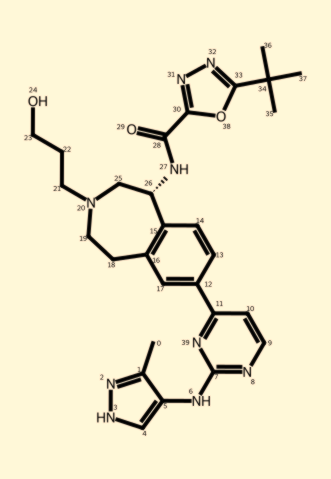 Cc1n[nH]cc1Nc1nccc(-c2ccc3c(c2)CCN(CCCO)C[C@@H]3NC(=O)c2nnc(C(C)(C)C)o2)n1